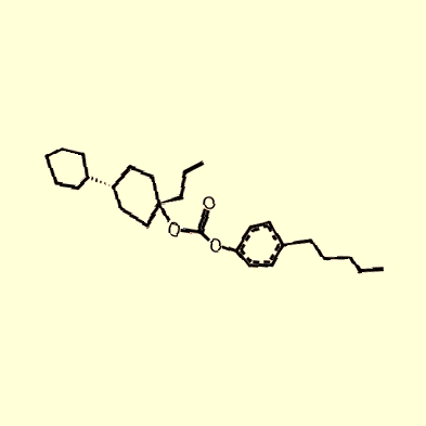 CCCCCc1ccc(OC(=O)O[C@]2(CCC)CC[C@H](C3CCCCC3)CC2)cc1